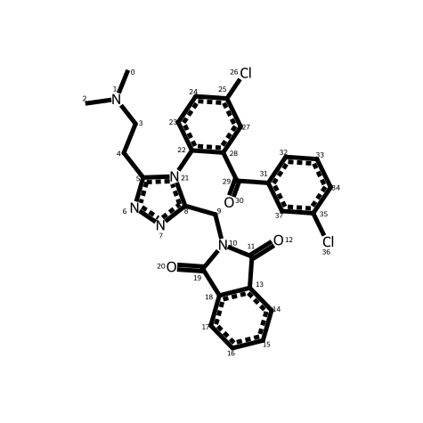 CN(C)CCc1nnc(CN2C(=O)c3ccccc3C2=O)n1-c1ccc(Cl)cc1C(=O)c1cccc(Cl)c1